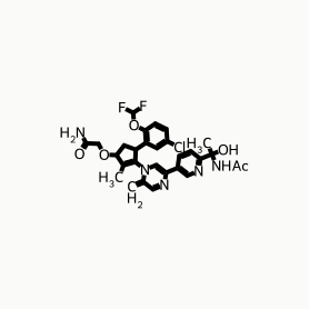 C=C1C=NC(c2ccc(C(C)(O)NC(C)=O)nc2)=CN1C1=C(C)C(OCC(N)=O)CC1c1cc(Cl)ccc1OC(F)F